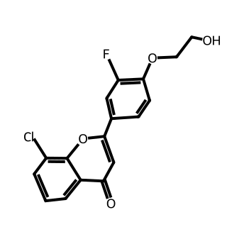 O=c1cc(-c2ccc(OCCO)c(F)c2)oc2c(Cl)cccc12